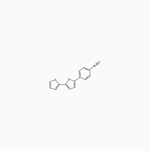 [C-]#[N+]c1ccc(-c2ccc(-c3cccs3)s2)cc1